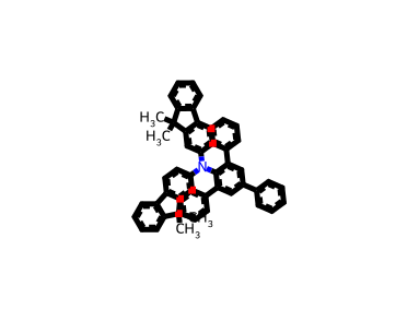 CC1(C)c2ccccc2-c2ccc(N(c3ccc4c(c3)C(C)(C)c3ccccc3-4)c3c(-c4ccccc4)cc(-c4ccccc4)cc3-c3ccccc3)cc21